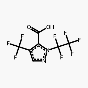 O=C(O)c1c(C(F)(F)F)cnn1C(F)(F)C(F)(F)F